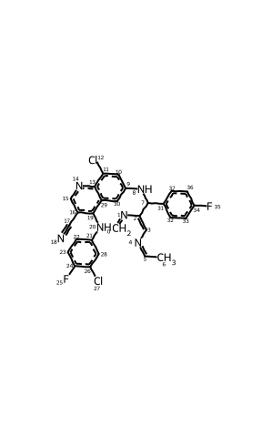 C=N/C(=C\N=C/C)C(Nc1cc(Cl)c2ncc(C#N)c(Nc3ccc(F)c(Cl)c3)c2c1)c1ccc(F)cc1